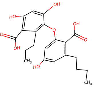 CCCCc1cc(O)cc(Oc2c(O)cc(O)c(C(=O)O)c2CCC)c1C(=O)O